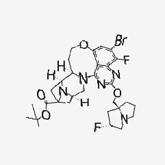 CC(C)(C)OC(=O)C12C[C@@H]3CN4c5nc(OC[C@@]67CCCN6C[C@H](F)C7)nc6c(F)c(Br)cc(c56)OCC[C@@H]4[C@H](C1)N32